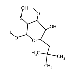 CC(C)(C)CC1OC(OI)C(SO)C(OI)C1O